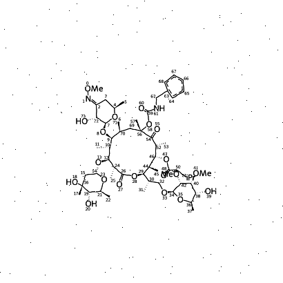 CON=C1C[C@@H](C)O[C@@H](O[C@@H]2[C@@H](C)[C@H](O[C@H]3C[C@@](C)(O)[C@@H](O)[C@H](C)O3)[C@@H](C)C(=O)O[C@H]([C@@H](C)CO[C@@H]3O[C@H](C)[C@@H](O)[C@@H](OC)[C@H]3OC)[C@H](C)[C@@H](OC(=O)CC(C)C)[C@@H](C)C(=O)[C@@](C)(OC(=O)NCc3ccccc3)C[C@@H]2C)[C@@H]1O